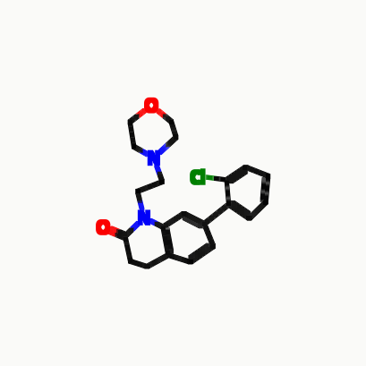 O=C1CCc2ccc(-c3ccccc3Cl)cc2N1CCN1CCOCC1